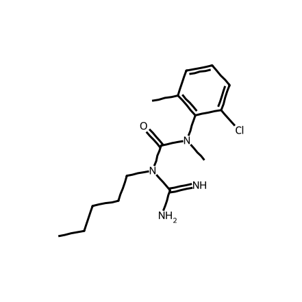 CCCCCN(C(=N)N)C(=O)N(C)c1c(C)cccc1Cl